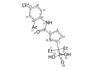 CCC(CC)(c1ccc(C(=O)Nc2ccc(Cl)cc2C(C)=O)s1)P(=O)(O)O